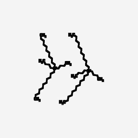 CCCCCCCCCCCC[N+](CCCC)(CCCC)CCCCCCCCCCCC.CCCCCCCCCCC[N+](CCCC)(CCCC)CCCCCCCCCCC